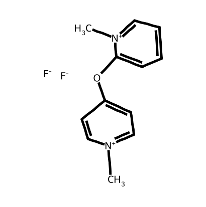 C[n+]1ccc(Oc2cccc[n+]2C)cc1.[F-].[F-]